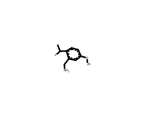 [CH2]C(F)c1ccc(OC(C)C)cc1CN